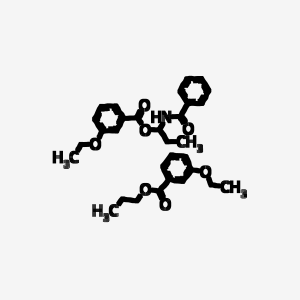 CCCOC(=O)c1cccc(OCC)c1.CCOc1cccc(C(=O)OC(CC)NC(=O)c2ccccc2)c1